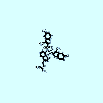 Cc1c(S(=O)(=O)N(c2cccc3c(CCN(C)C)c[nH]c23)S(=O)(=O)c2sc3ccc(Cl)cc3c2C)sc2ccc(Cl)cc12